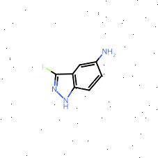 Nc1ccc2[nH]nc(F)c2c1